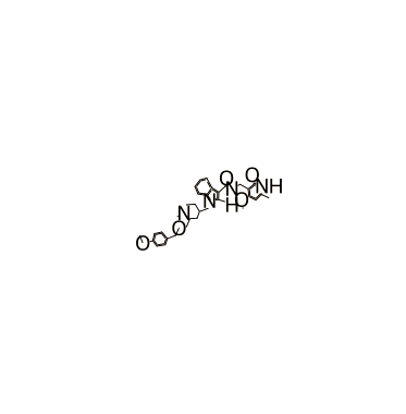 COc1ccc(COCC2CC(Cn3c(C)c(C(=O)NCc4c(OC)cc(C)[nH]c4=O)c4ccccc43)CCN2C)cc1